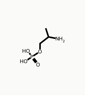 CC(N)COP(=O)(O)O